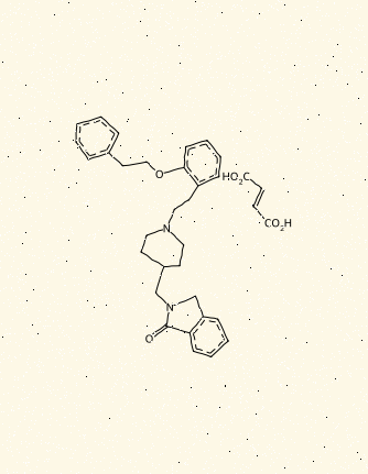 O=C(O)C=CC(=O)O.O=C1c2ccccc2CN1CC1CCN(CCc2ccccc2OCCc2ccccc2)CC1